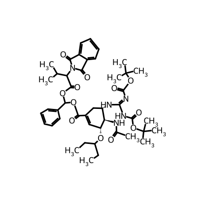 CCC(CC)O[C@@H]1C=C(C(=O)OC(OC(=O)C(C(C)C)N2C(=O)c3ccccc3C2=O)c2ccccc2)C[C@H](N/C(=N\C(=O)OC(C)(C)C)NC(=O)OC(C)(C)C)[C@H]1NC(C)=O